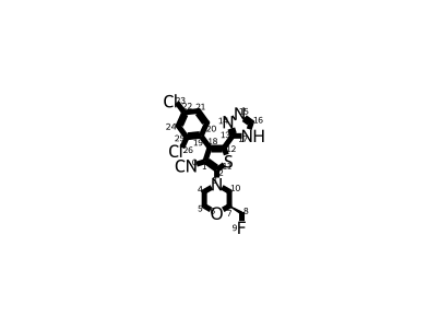 [C-]#[N+]c1c(N2CCO[C@H](CF)C2)sc(-c2nnc[nH]2)c1-c1ccc(Cl)cc1Cl